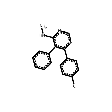 NNc1ncnc(-c2ccc(Cl)cc2)c1-c1ccccc1